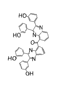 O=C(c1cccc2nc(-c3cccc(O)c3)c(-c3cccc(O)c3)nc12)c1cccc2nc(-c3cccc(O)c3)c(-c3cccc(O)c3)nc12